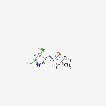 CC(C)(C)[S+]([O-])/N=C/c1cnc(F)cc1Br